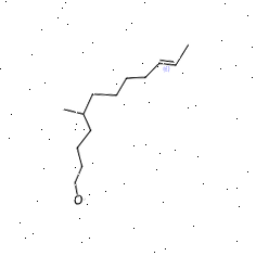 C/C=C/CCCCC(C)CCCC[O]